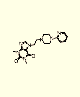 Cn1c(=O)c2c(ncn2CCN2CCN(c3ccccn3)CC2)n(C)c1=O